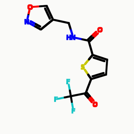 O=C(NCc1cnoc1)c1ccc(C(=O)C(F)(F)F)s1